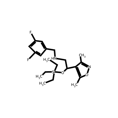 CC[Si](CC)(CC)OC(CNCc1cc(F)cc(F)c1)c1c(C)noc1C